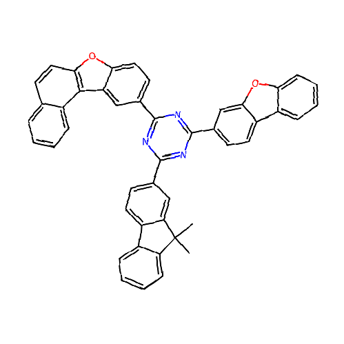 CC1(C)c2ccccc2-c2ccc(-c3nc(-c4ccc5c(c4)oc4ccccc45)nc(-c4ccc5oc6ccc7ccccc7c6c5c4)n3)cc21